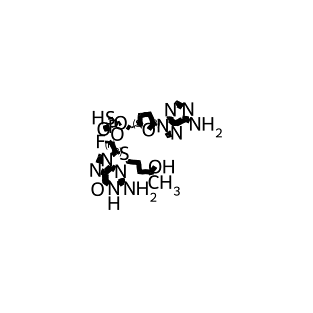 CC(O)CCCS[C@H]([C@@H](F)OP(=O)(S)OC[C@@H]1CC[C@H](n2cnc3c(N)ncnc32)O1)n1cnc2c(=O)[nH]c(N)nc21